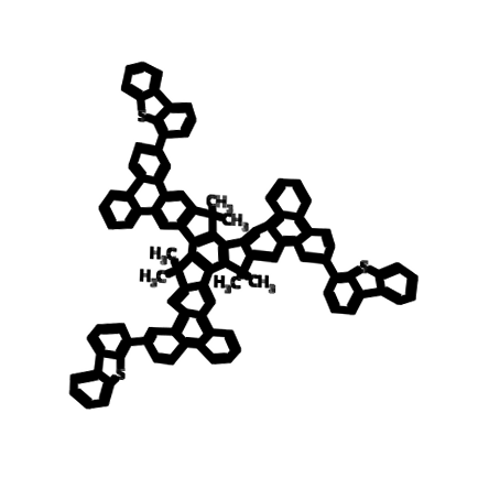 CC1(C)c2cc3c4cc(-c5cccc6c5sc5ccccc56)ccc4c4ccccc4c3cc2-c2c1c1c(c3c2C(C)(C)c2cc4c5cc(-c6cccc7c6sc6ccccc67)ccc5c5ccccc5c4cc2-3)C(C)(C)c2cc3c4cc(-c5cccc6c5sc5ccccc56)ccc4c4ccccc4c3cc2-1